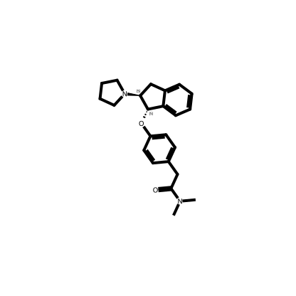 CN(C)C(=O)Cc1ccc(O[C@H]2c3ccccc3C[C@@H]2N2CCCC2)cc1